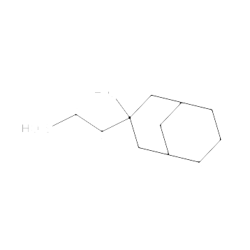 CC1(CCS(=O)(=O)O)CC2CCCC(C2)C1